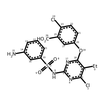 CCc1c(Cl)nc(NS(=O)(=O)c2cccc(N)c2)nc1Oc1ccc(Cl)c(C(=O)O)c1